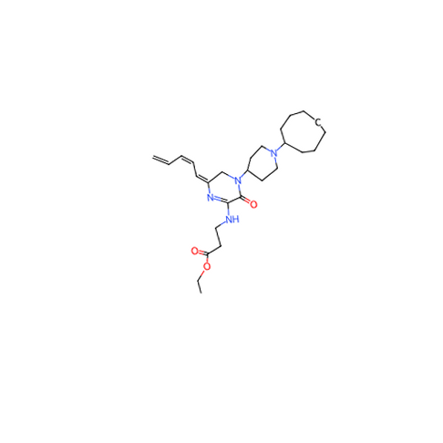 C=C/C=C\C=C1/CN(C2CCN(C3CCCCCCC3)CC2)C(=O)C(NCCC(=O)OCC)=N1